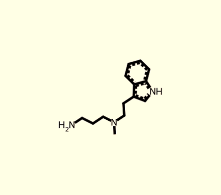 CN(CCCN)CCc1c[nH]c2ccccc12